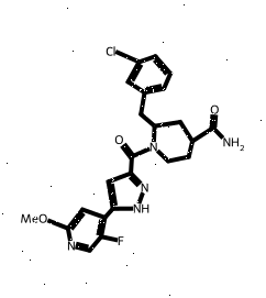 COc1cc(-c2cc(C(=O)N3CCC(C(N)=O)CC3Cc3cccc(Cl)c3)n[nH]2)c(F)cn1